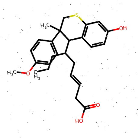 CCCC(C/C=C/CC(=O)O)C1c2ccc(O)cc2SCC1(C)c1ccc(OC)cc1